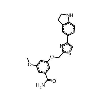 COc1cc(OCc2nc(-c3ccc4c(c3)CCN4)cs2)cc(C(N)=O)c1